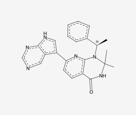 C[C@H](c1ccccc1)N1c2nc(-c3c[nH]c4ncncc34)ccc2C(=O)NC1(C)C